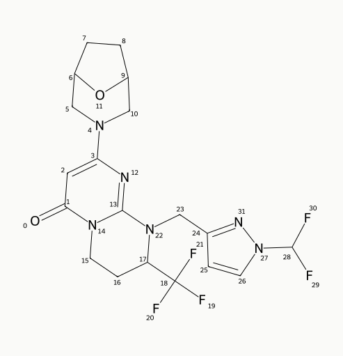 O=c1cc(N2CC3CCC(C2)O3)nc2n1CCC(C(F)(F)F)N2Cc1ccn(C(F)F)n1